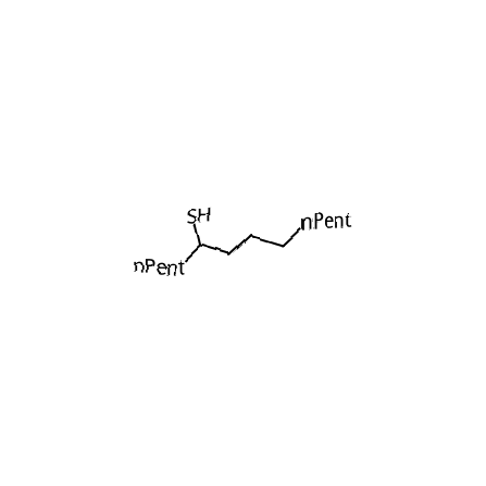 CCCCCCCCC(S)CCCCC